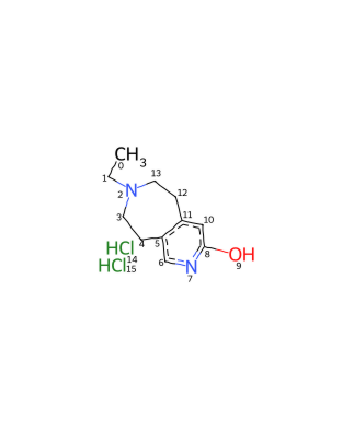 CCN1CCc2cnc(O)cc2CC1.Cl.Cl